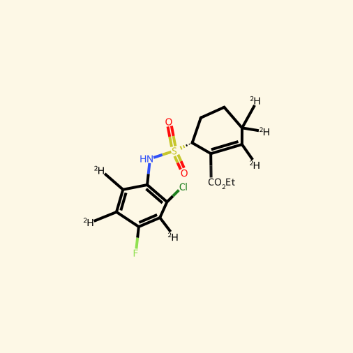 [2H]C1=C(C(=O)OCC)[C@H](S(=O)(=O)Nc2c([2H])c([2H])c(F)c([2H])c2Cl)CCC1([2H])[2H]